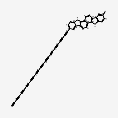 C#CC#CC#CC#CC#CC#CC#CC#CC#CC#CC#CC#Cc1ccc2sc3c(ccc4c3ccc3c5cc(C)ccc5oc34)c2c1